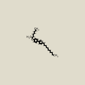 CCCCCCCCCCCc1ccc(-c2ccc(O[C@H](C)CCCCCC)cc2)cn1